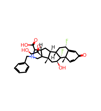 C[C@]12C=CC(=O)C=C1[C@@H](F)C[C@H]1[C@@H]3C[C@H]4C(C(=O)O)N(Cc5ccccc5)C[C@@]4(C(=O)CO)[C@@]3(C)C[C@H](O)[C@@]12F